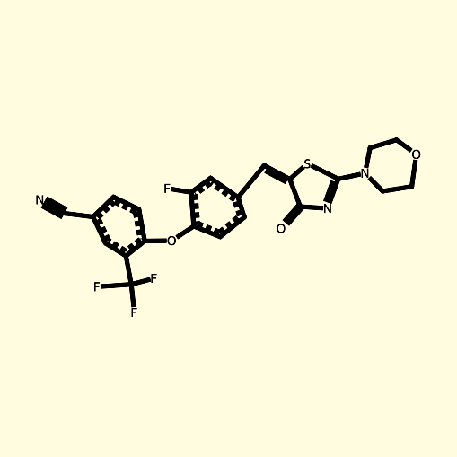 N#Cc1ccc(Oc2ccc(C=C3SC(N4CCOCC4)=NC3=O)cc2F)c(C(F)(F)F)c1